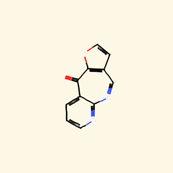 O=c1c2cccnc2ncc2ccoc12